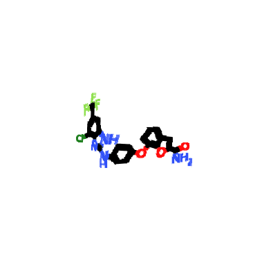 NC(=O)c1cc2cccc(Oc3ccc(Nc4nc5c(Cl)cc(C(F)(F)F)cc5[nH]4)cc3)c2o1